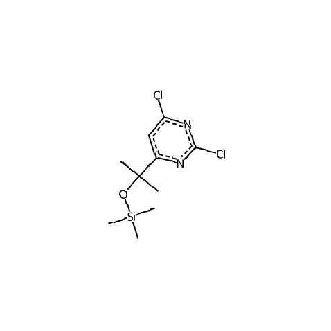 CC(C)(O[Si](C)(C)C)c1cc(Cl)nc(Cl)n1